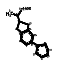 CCCCCCC(C)C1Cc2ccc(-c3c[c]ccc3)cc2C1